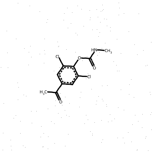 CNC(=O)Oc1c(Cl)cc(C(C)=O)cc1Cl